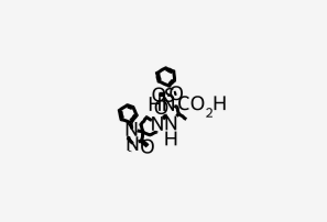 CC(NC(=O)N1CCC2(CC1)C(=O)N(C)CN2c1ccccc1)C(NS(=O)(=O)c1ccccc1)C(=O)O